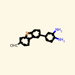 Nc1ccc(-c2ccc3sc4cc(C=O)ccc4c3c2)cc1N